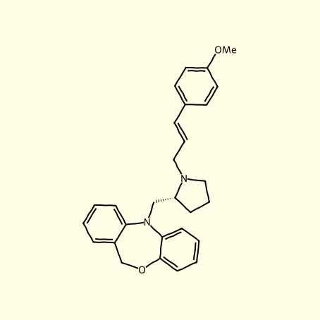 COc1ccc(/C=C/CN2CCC[C@@H]2CN2c3ccccc3COc3ccccc32)cc1